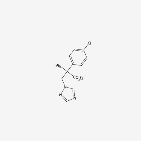 CCCCC(Cn1cncn1)(C(=O)OCC)c1ccc(Cl)cc1